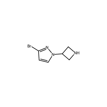 Brc1ccn(C2CNC2)n1